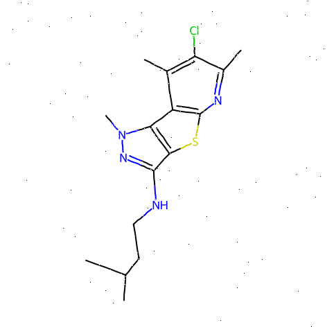 Cc1nc2sc3c(NCCC(C)C)nn(C)c3c2c(C)c1Cl